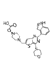 O=C(O)ON1CCN(Cc2cc3nc(-c4cccc5[nH]ncc45)nc(N4CCOCC4)c3s2)CC1